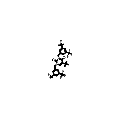 CC(C)(C)c1cn(Cc2cc(C(F)(F)F)cc(C(F)(F)F)c2)c(=O)n(Cc2cc(C(F)(F)F)cc(C(F)(F)F)c2)c1=O